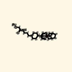 CC(C)OCC(=O)NCCCN1CCC(c2cnc(N3C4CCC3CN(C(C)C)C4)nc2)CC1